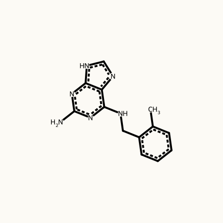 Cc1ccccc1CNc1nc(N)nc2[nH]cnc12